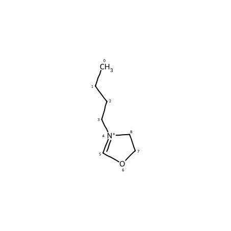 CCCC[N+]1=COCC1